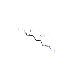 CC(=O)O.CC(=O)O.NCCCCCCN